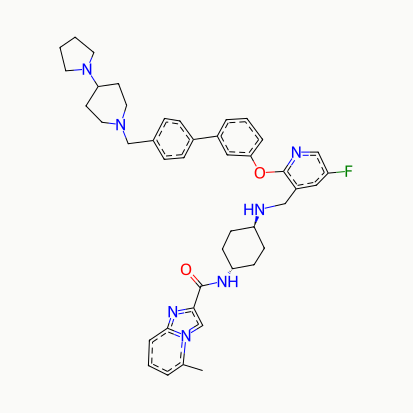 Cc1cccc2nc(C(=O)N[C@H]3CC[C@H](NCc4cc(F)cnc4Oc4cccc(-c5ccc(CN6CCC(N7CCCC7)CC6)cc5)c4)CC3)cn12